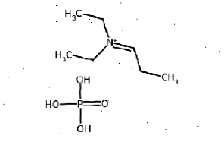 CCC=[N+](CC)CC.O=P(O)(O)O